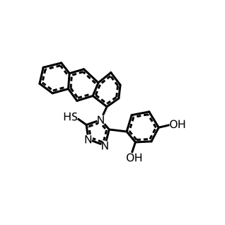 Oc1ccc(-c2nnc(S)n2-c2cccc3cc4ccccc4cc23)c(O)c1